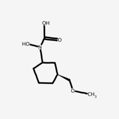 COC[C@H]1CCCC(N(O)C(=O)O)C1